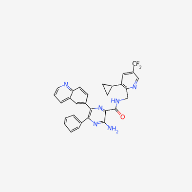 Nc1nc(-c2ccccc2)c(-c2ccc3ncccc3c2)nc1C(=O)NCc1ncc(C(F)(F)F)cc1C1CC1